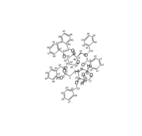 O=C(O)CC([C@H]1[C@H](OCc2ccccc2)[C@@H]2OC[C@@H](O2)[C@@H]1OCc1ccccc1)[C@H]1O[C@H](COCc2ccccc2)[C@@H](OCc2ccccc2)[C@@H](OCc2ccccc2)[C@H]1OCc1ccccc1